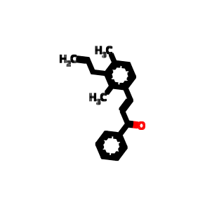 C=CCc1c(C)ccc(C=CC(=O)c2ccccc2)c1C